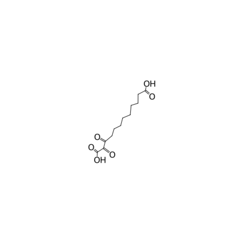 O=C(O)CCCCCCCCC(=O)C(=O)C(=O)O